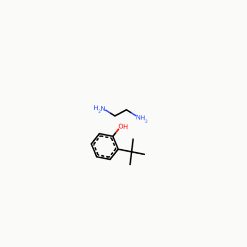 CC(C)(C)c1ccccc1O.NCCN